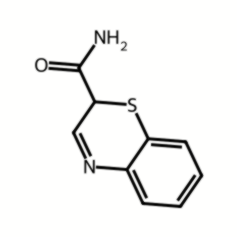 NC(=O)C1C=Nc2ccccc2S1